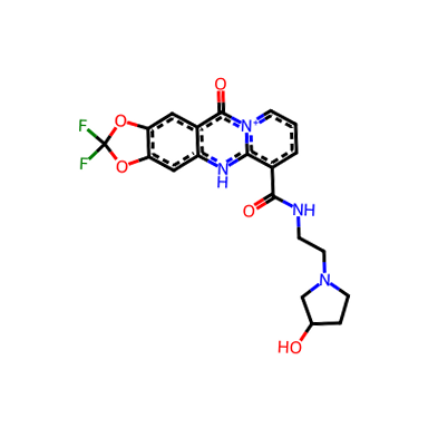 O=C(NCCN1CCC(O)C1)c1ccc[n+]2c(=O)c3cc4c(cc3[nH]c12)OC(F)(F)O4